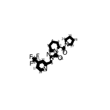 O=C([C@@H]1CCCc2nn(Cc3cc(C(F)(F)F)ccn3)c(=O)n21)N1CCCC1